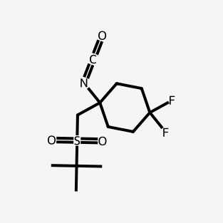 CC(C)(C)S(=O)(=O)CC1(N=C=O)CCC(F)(F)CC1